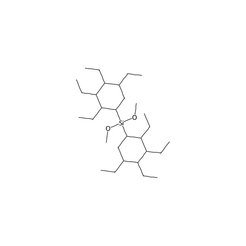 CCC1CC([Si](OC)(OC)C2CC(CC)C(CC)C(CC)C2CC)C(CC)C(CC)C1CC